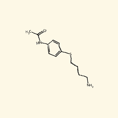 CC(=O)Nc1ccc(SCCCCN)cc1